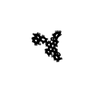 C1=C(c2nc(-c3ccccc3-c3cccc4oc5ccccc5c34)nc(-c3cccc4c3oc3ccccc34)n2)CCc2ccc3ccccc3c21